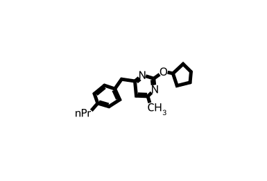 CCCc1ccc(Cc2cc(C)nc(OC3CCCC3)n2)cc1